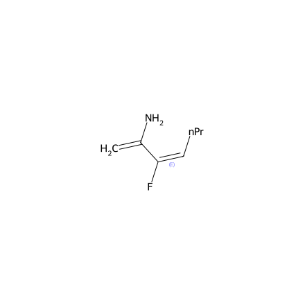 C=C(N)/C(F)=C\CCC